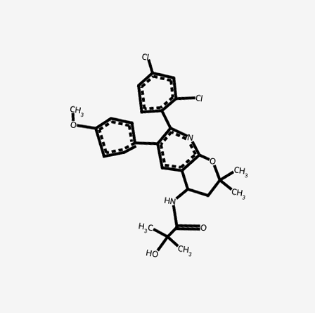 COc1ccc(-c2cc3c(nc2-c2ccc(Cl)cc2Cl)OC(C)(C)CC3NC(=O)C(C)(C)O)cc1